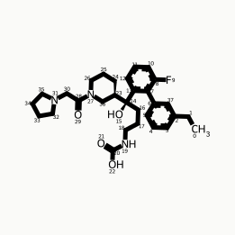 CCc1cccc(-c2c(F)cccc2[C@](O)(CCCNC(=O)O)[C@@H]2CCCN(C(=O)CN3CCCC3)C2)c1